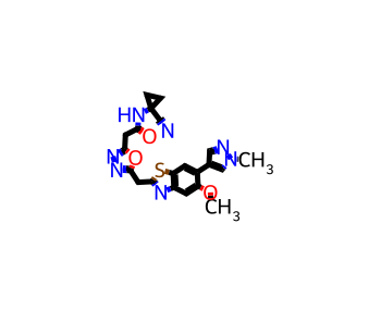 COc1cc2nc(Cc3nnc(CC(=O)NC4(C#N)CC4)o3)sc2cc1-c1cnn(C)c1